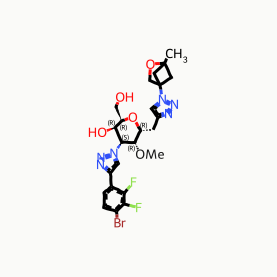 CO[C@@H]1[C@@H](n2cc(-c3ccc(Br)c(F)c3F)nn2)[C@@H](O)[C@@H](CO)O[C@@H]1Cc1cn(C23COC(C)(C2)C3)nn1